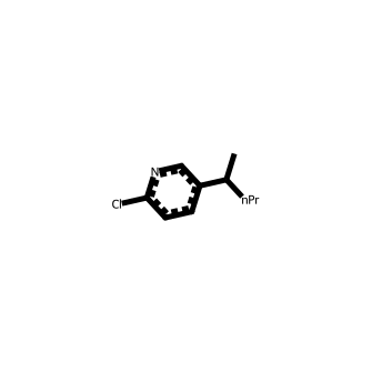 CCCC(C)c1ccc(Cl)nc1